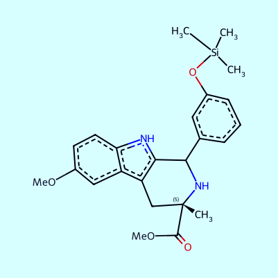 COC(=O)[C@]1(C)Cc2c([nH]c3ccc(OC)cc23)C(c2cccc(O[Si](C)(C)C)c2)N1